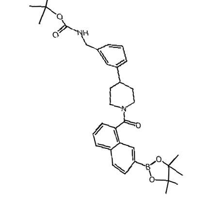 CC(C)(C)OC(=O)NCc1cccc(C2CCN(C(=O)c3cccc4ccc(B5OC(C)(C)C(C)(C)O5)cc34)CC2)c1